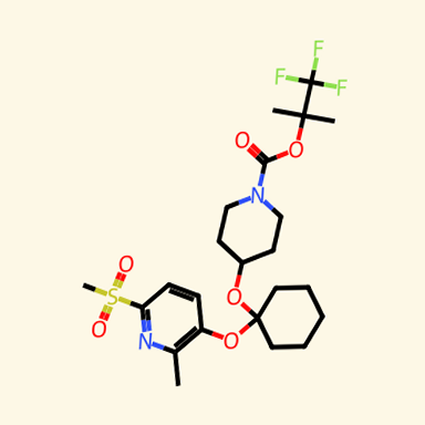 Cc1nc(S(C)(=O)=O)ccc1OC1(OC2CCN(C(=O)OC(C)(C)C(F)(F)F)CC2)CCCCC1